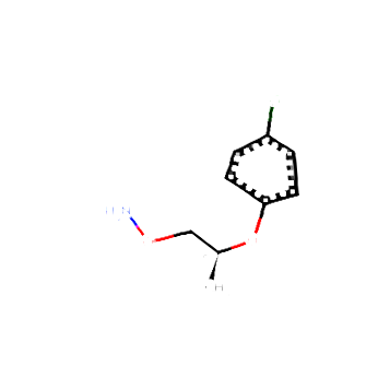 C[C@@H](CON)Oc1ccc(Cl)cc1